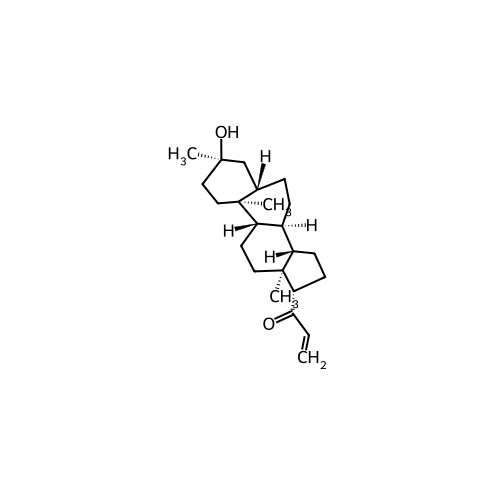 C=CC(=O)[C@H]1CC[C@H]2[C@@H]3CC[C@H]4C[C@](C)(O)CC[C@]4(C)[C@H]3CC[C@]12C